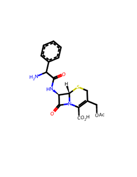 CC(=O)OCC1=C(C(=O)O)N2C(=O)[C@@H](NC(=O)C(N)c3ccccc3)[C@@H]2SC1